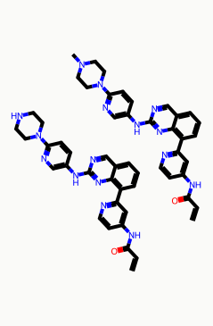 C=CC(=O)Nc1ccnc(-c2cccc3cnc(Nc4ccc(N5CCN(C)CC5)nc4)nc23)c1.C=CC(=O)Nc1ccnc(-c2cccc3cnc(Nc4ccc(N5CCNCC5)nc4)nc23)c1